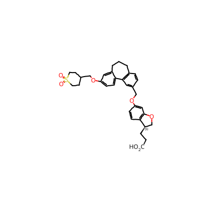 O=C(O)CC[C@@H]1COc2cc(OCc3ccc4c(c3)-c3ccc(OCC5CCS(=O)(=O)CC5)cc3CCC4)ccc21